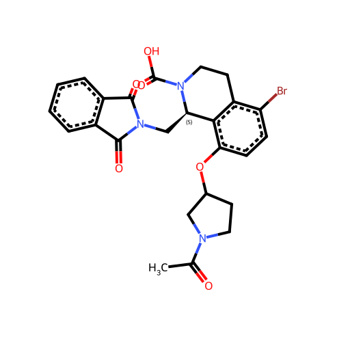 CC(=O)N1CCC(Oc2ccc(Br)c3c2[C@@H](CN2C(=O)c4ccccc4C2=O)N(C(=O)O)CC3)C1